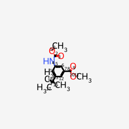 COC(=O)Nc1cc(C(=O)OC)cc(C(C)(C)C)c1